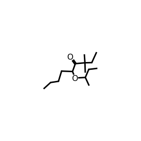 CCCCC(OC(C)CC)C(=O)C(C)(C)CC